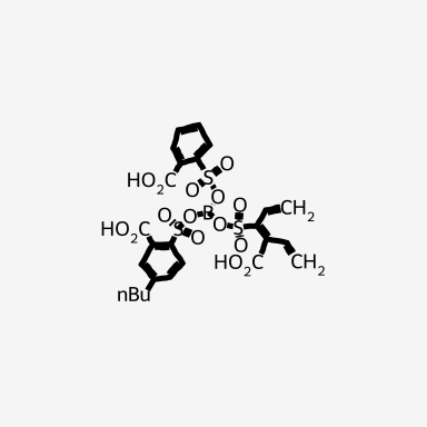 C=C/C(C(=O)O)=C(\C=C)S(=O)(=O)OB(OS(=O)(=O)c1ccccc1C(=O)O)OS(=O)(=O)c1ccc(CCCC)cc1C(=O)O